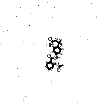 CC(=O)Oc1ccccc1C(=O)Nc1ccc2c(c1)NC(=O)CC2(C)C